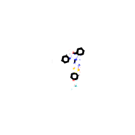 Cc1ccc(-n2c(CN(C)S(=O)(=O)c3ccc(OC(F)(F)F)cc3)nc3ccccc3c2=O)c(C)c1